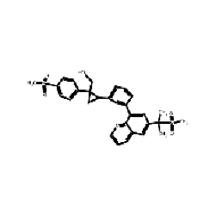 CC(C)(c1cc(-c2cccc(C3CC3(CO)c3ccc(S(C)(=O)=O)cc3)c2)c2ncccc2c1)S(C)(=O)=O